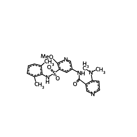 COc1ncc(NC(=O)c2cnccc2N(C)C)cc1S(=O)(=O)Nc1c(C)cccc1C